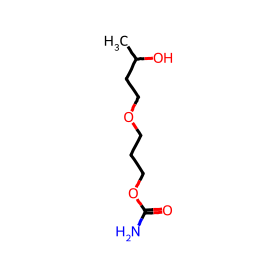 CC(O)CCOCCCOC(N)=O